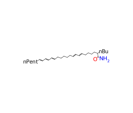 CCCCCC=CC=CC=CCCCCCC=CC=CCCCCC(CCCC)C(N)=O